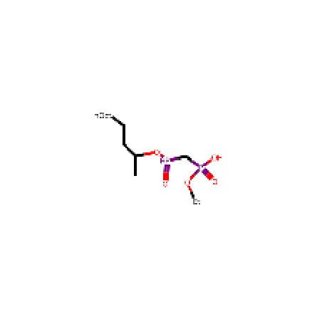 CCCCCCCCCCC(C)O[PH](=O)CP(=O)(O)OCC